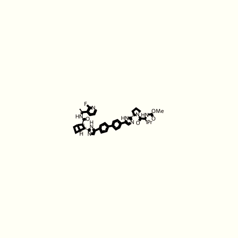 COC(=O)N[C@H](C(=O)N1CCC[C@H]1c1ncc(-c2ccc(-c3ccc(-c4cnc([C@H]5[C@H](C(=O)N[C@@H](C)c6cccnc6F)C6CC[C@@H]65)[nH]4)cc3)cc2)[nH]1)C(C)C